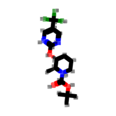 C[C@H]1[C@H](Oc2ncc(C(F)(F)F)cn2)CCCN1C(=O)OC(C)(C)C